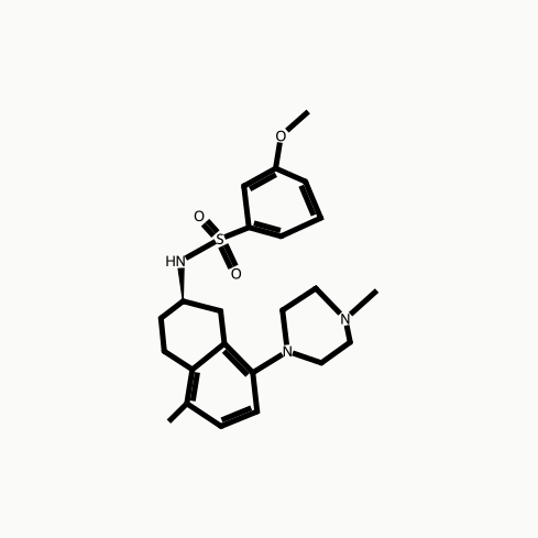 COc1cccc(S(=O)(=O)N[C@@H]2CCc3c(C)ccc(N4CCN(C)CC4)c3C2)c1